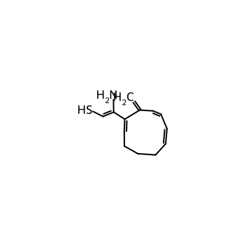 C=C1/C=C\C=C/CCC/C=C1/C(N)=C/S